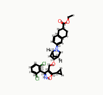 CCOC(=O)C1CCc2cc(N3C[C@@H]4C[C@H]3C[C@H]4OCc3c(-c4c(Cl)cccc4Cl)noc3C3CC3)ccc2C1